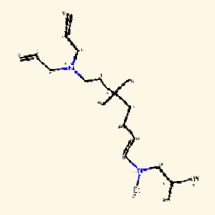 C=CCN(CC=C)CCC(C)(C)CC/C=C/N(CC)CC(C)C(C)C